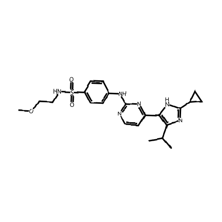 COCCNS(=O)(=O)c1ccc(Nc2nccc(-c3[nH]c(C4CC4)nc3C(C)C)n2)cc1